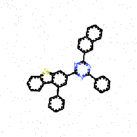 c1ccc(-c2nc(-c3ccc4ccccc4c3)nc(-c3cc(-c4ccccc4)c4c(c3)sc3ccccc34)n2)cc1